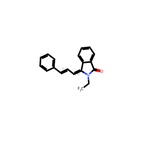 O=C1c2ccccc2/C(=C\C=C\c2ccccc2)N1CC(F)(F)F